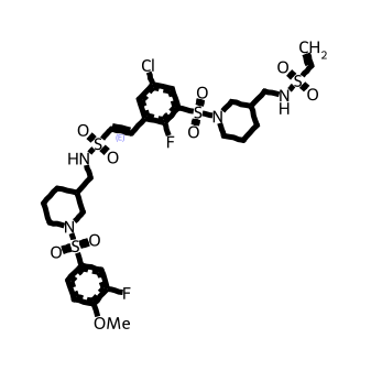 C=CS(=O)(=O)NCC1CCCN(S(=O)(=O)c2cc(Cl)cc(/C=C/S(=O)(=O)NCC3CCCN(S(=O)(=O)c4ccc(OC)c(F)c4)C3)c2F)C1